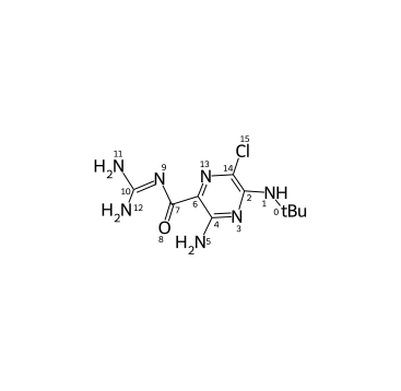 CC(C)(C)Nc1nc(N)c(C(=O)N=C(N)N)nc1Cl